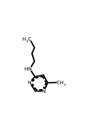 CCCCNc1cc(C)ncn1